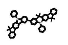 CC1(C)c2ccccc2-c2cc3c(cc21)N(c1ccccc1)c1ccc(-c2ccc4c(c2)c2cc5c(cc2n4-c2ccccc2)C(C)(C)c2ccccc2-5)cc1C3(C)C